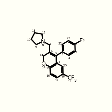 Fc1ccc(C2=C(CN3CCCC3)COc3ccc(C(F)(F)F)cc32)cc1